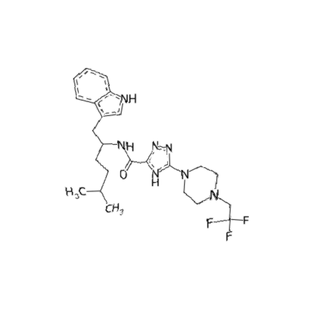 CC(C)CCC(Cc1c[nH]c2ccccc12)NC(=O)c1nnc(N2CCN(CC(F)(F)F)CC2)[nH]1